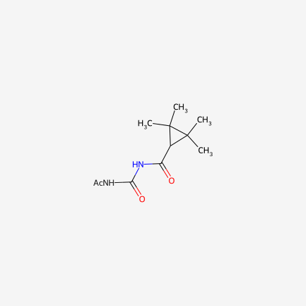 CC(=O)NC(=O)NC(=O)C1C(C)(C)C1(C)C